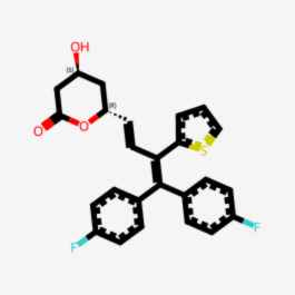 O=C1C[C@@H](O)C[C@H](C=CC(=C(c2ccc(F)cc2)c2ccc(F)cc2)c2cccs2)O1